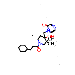 CC1(C)CN(C(=O)CCC2CCCCC2)CCC1(O)Cn1ccncc1=O